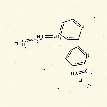 C=C.C=C.C=C.[Cl-].[Cl-].[Pt+2].c1ccncc1.c1ccncc1